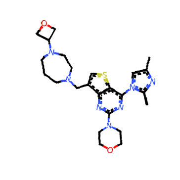 Cc1cn(-c2nc(N3CCOCC3)nc3c(CN4CCCN(C5COC5)CC4)csc23)c(C)n1